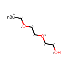 CCCC[CH]OCCOCCO